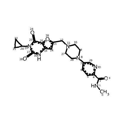 CNC(=O)c1ccc(N2CCN(Cc3cc4[nH]c(=O)n(C5CC5)c(=O)c4o3)CC2)cn1